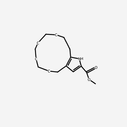 COC(=O)c1cc2c([nH]1)CCCCCCCCCC2